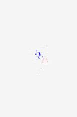 C=C1/C=C\C2=C(C=CC(C)C2)Cc2c(cccc2-c2ccc(-c3nc(-c4ccc(-c5ccccc5)cc4)nc(-c4ccc5ccccc5c4)n3)c3c2oc2ccccc23)S1